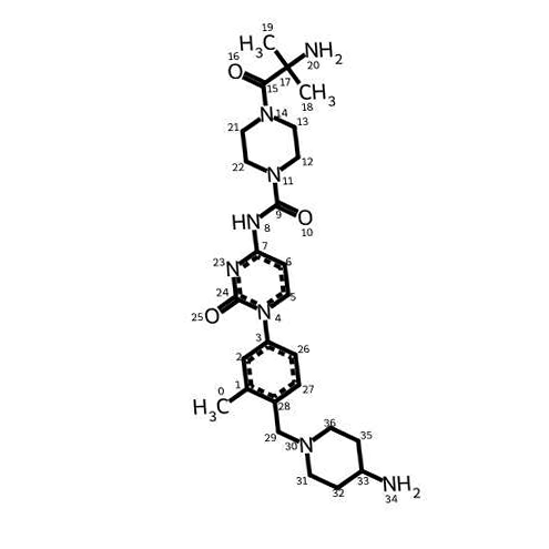 Cc1cc(-n2ccc(NC(=O)N3CCN(C(=O)C(C)(C)N)CC3)nc2=O)ccc1CN1CCC(N)CC1